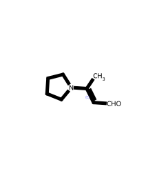 C/C(=C\C=O)N1CCCC1